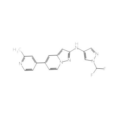 Cc1cc(-c2ccn3nc(Nc4cnn(C(F)F)c4)cc3c2)ccn1